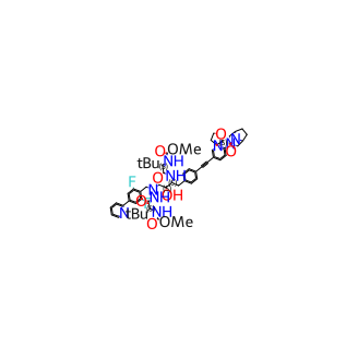 COC(=O)N[C@H](C(=O)N[C@@H](Cc1ccc(C#Cc2ccc(N3CC4CCC(C3)N4C(=O)[C@@H]3CCCO3)nc2)cc1)[C@@H](O)CN(Cc1c(F)cc(-c2ccccn2)cc1F)NC(=O)[C@@H](NC(=O)OC)C(C)(C)C)C(C)(C)C